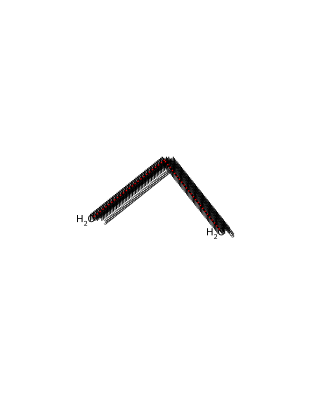 N.N.N.N.N.N.N.N.N.N.N.N.N.N.N.N.N.N.N.N.N.N.N.N.N.N.N.N.N.N.N.N.N.N.N.N.N.N.N.N.N.N.N.N.N.N.N.N.N.N.N.N.N.N.N.N.N.N.N.N.N.N.N.N.N.N.N.N.N.N.N.N.N.N.N.N.N.N.N.N.N.N.N.N.N.N.N.N.N.N.N.N.N.N.N.N.N.N.O.O